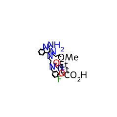 CCN(CC)CC(=O)N(CCCn1c(CCOC)nc2c(N)nc3ccccc3c21)Cc1ccc(F)c(OCC(=O)O)c1